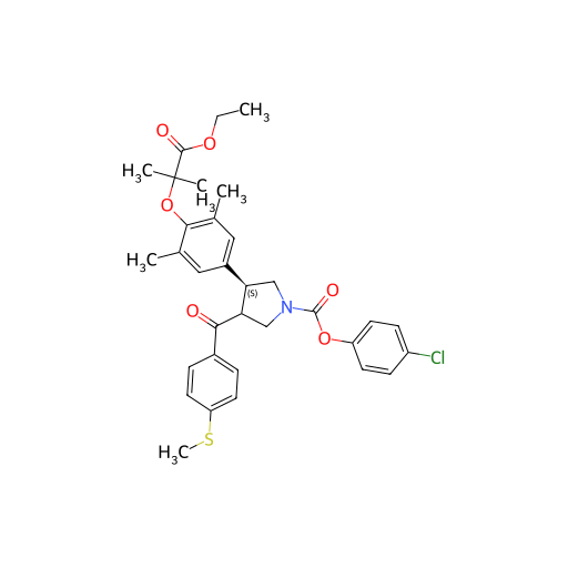 CCOC(=O)C(C)(C)Oc1c(C)cc([C@H]2CN(C(=O)Oc3ccc(Cl)cc3)CC2C(=O)c2ccc(SC)cc2)cc1C